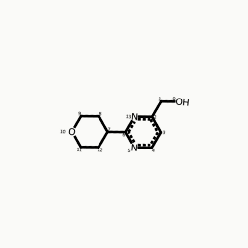 OCc1ccnc(C2CCOCC2)n1